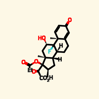 CCC(=O)O[C@]1(C(=O)C(=O)O)[C@H](C)C[C@H]2[C@@H]3CCC4=CC(=O)C=C[C@]4(C)[C@@]3(F)[C@@H](O)C[C@@]21C